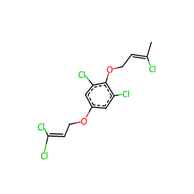 C/C(Cl)=C/COc1c(Cl)cc(OCC=C(Cl)Cl)cc1Cl